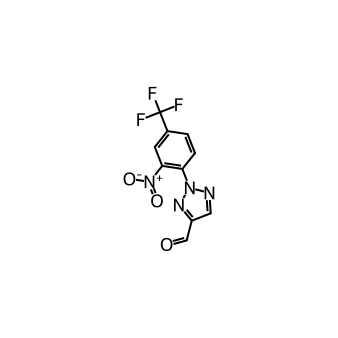 O=Cc1cnn(-c2ccc(C(F)(F)F)cc2[N+](=O)[O-])n1